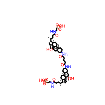 C[C@H](CCC(=O)NCCS(=O)(=O)O)[C@H]1CC[C@H]2[C@@H]3[C@@H](O)CC4CC(NC(=O)CCCC(=O)NC5CC[C@@]6(C)C(C5)C[C@H](O)[C@H]5[C@@H]7CC[C@H]([C@H](C)CCC(=O)NCCS(=O)(=O)O)[C@@]7(C)CC[C@@H]56)CC[C@]4(C)[C@H]3CC[C@]12C